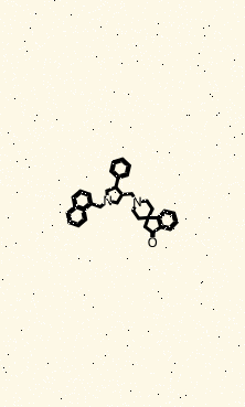 O=C1CC2(CCN(CC3CN(Cc4cccc5ccccc45)CC3c3ccccc3)CC2)c2ccccc21